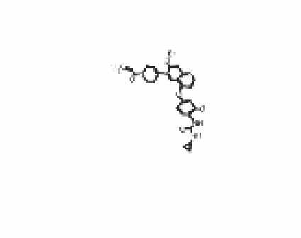 C=CC(=O)N1CC=C(c2cc3c(Oc4ccc(NC(=O)NC5CC5)c(Cl)c4)ccnc3cc2OCC)CC1